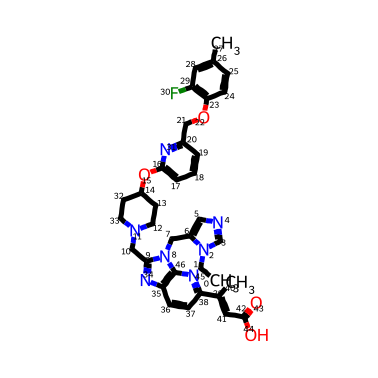 CCn1cncc1Cn1c(CN2CCC(Oc3cccc(COc4ccc(C)cc4F)n3)CC2)nc2ccc(/C(C)=C/C(=O)O)nc21